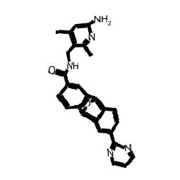 Cc1cc(N)nc(C)c1CNC(=O)c1ccc2c(c1)c1oc2c2cc(-c3ncccn3)ccc21